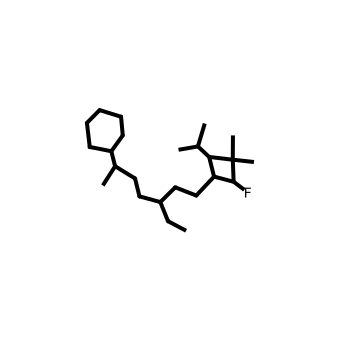 CCC(CCC(C)C1CCCCC1)CCC1C(F)C(C)(C)C1C(C)C